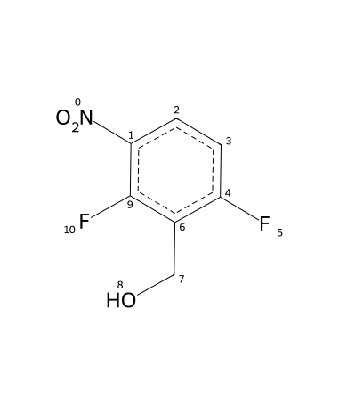 O=[N+]([O-])c1ccc(F)c(CO)c1F